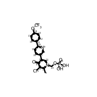 Cc1c(Cl)c(=O)c(-c2[c]nc(-c3ccc(OC(F)(F)F)cc3)cc2)[c]n1COP(=O)(O)O